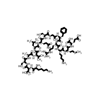 CSCC[C@H](NC(=O)[C@H](CCCCN)NC(=O)[C@H](CCCNC(=N)N)NC(=O)[C@H](Cc1ccccc1)NC(=O)CNC(=O)[C@H](CO)NC(=O)[C@H](CCC(N)=O)NC(=O)[C@H](CC(C)C)NC(=O)[C@@H](NC(=O)[C@H](C)NC(=O)[C@H](CO)NC(=O)[C@@H](NC(=O)[C@@H](N)CCCCN)[C@@H](C)O)C(C)C)C(=O)N[C@@H](CCC(=O)O)C(=O)O